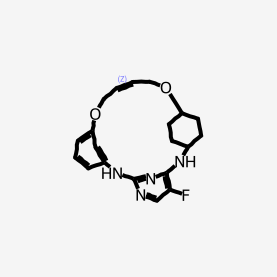 Fc1cnc2nc1NC1CCC(CC1)OC/C=C\COc1cccc(c1)N2